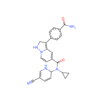 N#CC1=CNC(N(C(=O)C2=CC3=C(c4ccc(C(N)=O)cc4)CNN3C=C2)C2CC2)C=C1